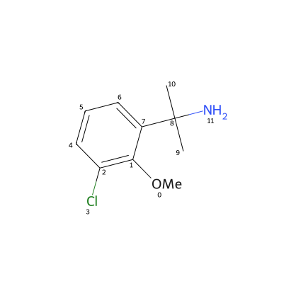 COc1c(Cl)cccc1C(C)(C)N